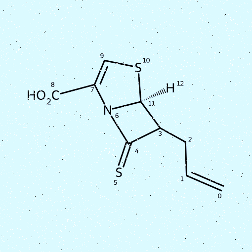 C=CCC1C(=S)N2C(C(=O)O)=CS[C@@H]12